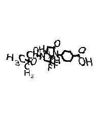 CC(C)(C)OC(=O)N1CC(F)(F)[C@H]2[C@@H]1CC(=O)N2C1CCC(C(=O)O)CC1